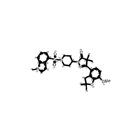 COc1ccc(C2=NN(C3CCN(S(=O)(=O)c4cccc5c4ccn5C)CC3)C(=O)C2(C)C)c2c1OC(C)(C)C2